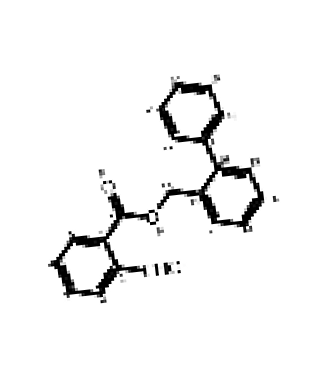 O=[C]c1ccccc1C(=O)OCc1ccccc1-c1ccccc1